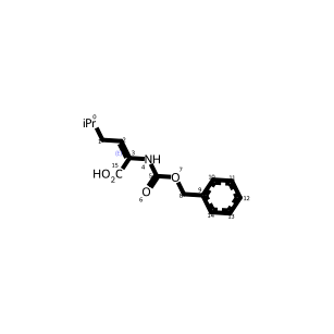 CC(C)C/C=C(/NC(=O)OCc1ccccc1)C(=O)O